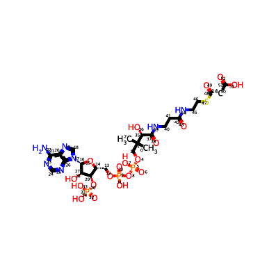 CC(C)(COP(=O)(O)OP(=O)(O)OC[C@H]1O[C@@H](n2cnc3c(N)ncnc32)[C@H](O)[C@@H]1OP(=O)(O)O)[C@@H](O)C(=O)NCCC(=O)NCCSC(=O)[14CH2]C(=O)O